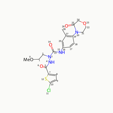 COCCN(NC(=O)c1ccc(Cl)s1)C(=O)Nc1ccc(N2CCOCC2=O)c(C)c1